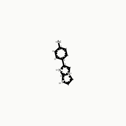 CC(=O)c1ccc(-c2cn3ccsc3n2)cc1